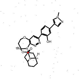 Cn1cc(-c2ccc(-c3cc4c(nn3)N([C@H]3CC5CCC[C@H](C3)N5C(=O)OC(C)(C)C)CCCO4)c(O)c2)cn1